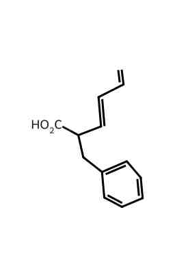 C=CC=CC(Cc1ccccc1)C(=O)O